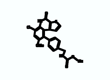 COc1cc(Cl)c2[nH]c(=O)c3sccc3c2c1-c1ccc(CNC(=O)OC(C)(C)C)cc1